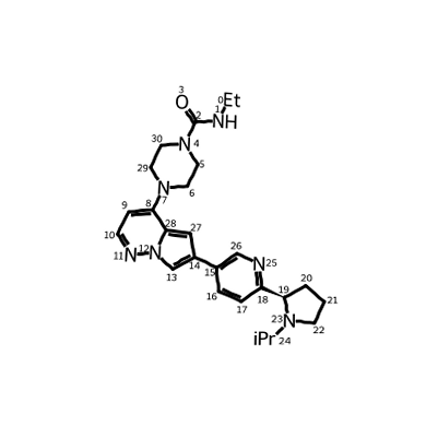 CCNC(=O)N1CCN(c2ccnn3cc(-c4ccc([C@H]5CCCN5C(C)C)nc4)cc23)CC1